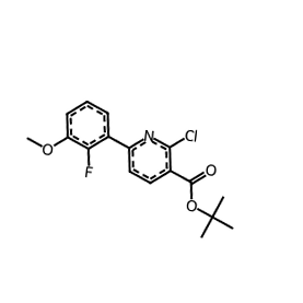 COc1cccc(-c2ccc(C(=O)OC(C)(C)C)c(Cl)n2)c1F